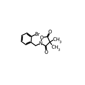 CC1(C)C(=O)ON(Cc2ccccc2Br)C1=O